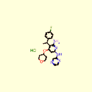 CC(c1ccc(F)cc1)c1c(OC2CCOCC2)cc(Nc2cnccn2)nc1N.Cl